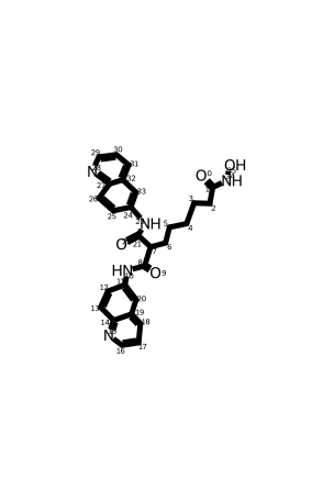 O=C(CCCCCC(C(=O)Nc1ccc2ncccc2c1)C(=O)Nc1ccc2ncccc2c1)NO